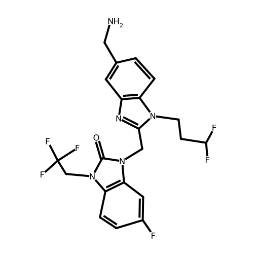 NCc1ccc2c(c1)nc(Cn1c(=O)n(CC(F)(F)F)c3ccc(F)cc31)n2CCC(F)F